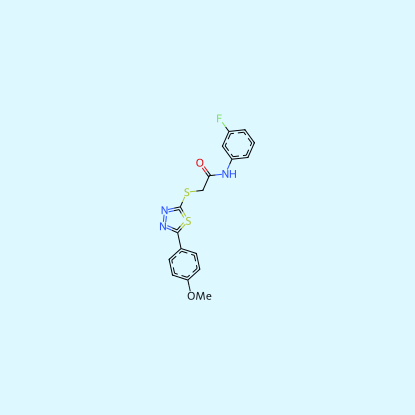 COc1ccc(-c2nnc(SCC(=O)Nc3cccc(F)c3)s2)cc1